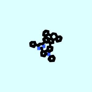 c1ccc(-c2cc(-c3ccccc3)nc(-c3cccc4c3c3cc(-c5ccc6c(c5)-c5ccccc5CCC6c5ccccc5)ccc3n4-c3ccccc3)n2)cc1